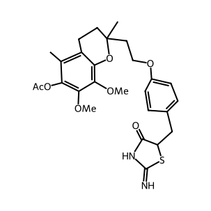 COc1c(OC(C)=O)c(C)c2c(c1OC)OC(C)(CCOc1ccc(CC3SC(=N)NC3=O)cc1)CC2